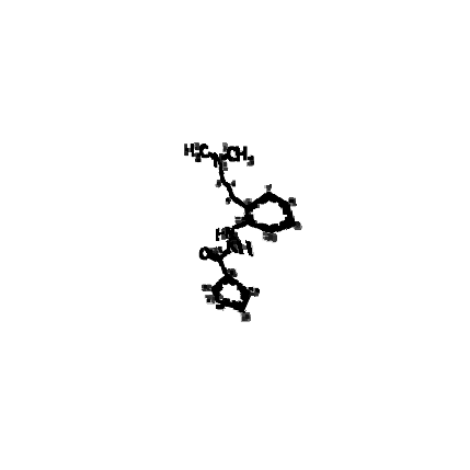 CN(C)CCCc1ccccc1NNC(=O)c1ccsc1